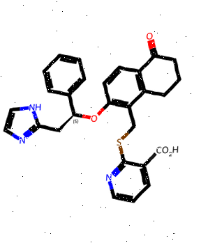 O=C(O)c1cccnc1SCc1c(O[C@@H](Cc2ncc[nH]2)c2ccccc2)ccc2c1CCCC2=O